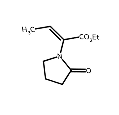 C/C=C(/C(=O)OCC)N1CCCC1=O